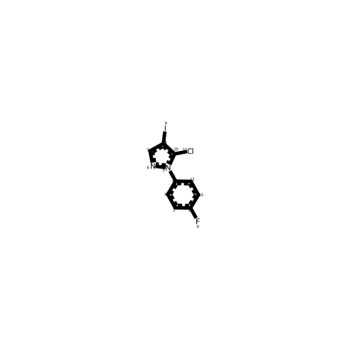 Fc1ccc(-n2ncc(I)c2Cl)cc1